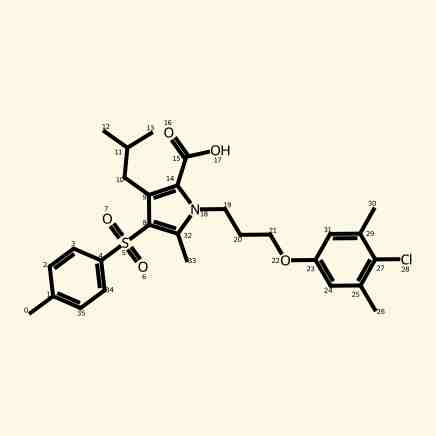 Cc1ccc(S(=O)(=O)c2c(CC(C)C)c(C(=O)O)n(CCCOc3cc(C)c(Cl)c(C)c3)c2C)cc1